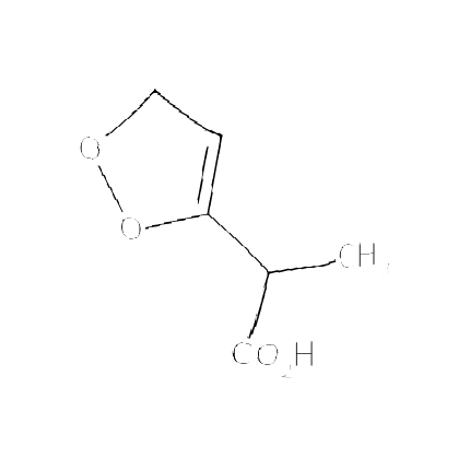 CC(C(=O)O)C1=CCOO1